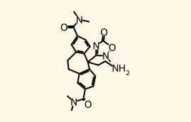 CN(C)C(=O)c1ccc2c(c1)CCc1cc(C(=O)N(C)C)ccc1C2(CCN)c1nc(=O)on1C